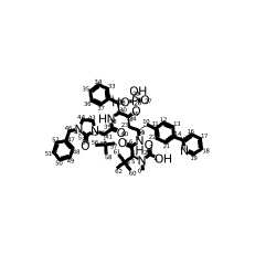 CN(C(=O)O)[C@H](C(=O)N[C@@H](Cc1ccc(-c2ccccn2)cc1)C[C@H](OP(=O)(O)O)[C@H](Cc1ccccc1)NC(=O)[C@@H](N1CCN(Cc2ccccc2)C1=O)C(C)(C)C)C(C)(C)C